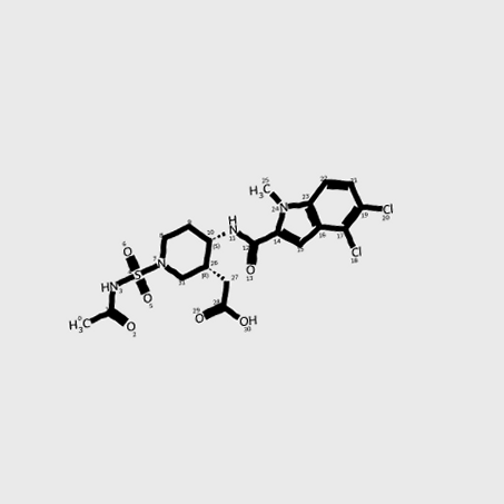 CC(=O)NS(=O)(=O)N1CC[C@H](NC(=O)c2cc3c(Cl)c(Cl)ccc3n2C)[C@H](CC(=O)O)C1